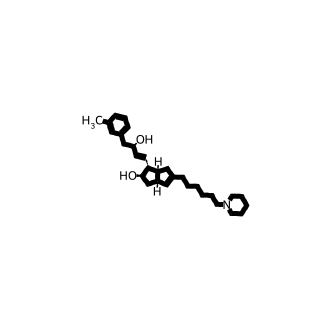 Cc1cccc(C[C@H](O)/C=C/[C@@H]2[C@H]3CC(CCCCCCN4CCCCC4)=C[C@H]3C[C@H]2O)c1